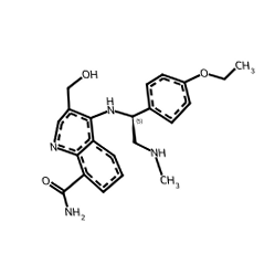 CCOc1ccc([C@@H](CNC)Nc2c(CO)cnc3c(C(N)=O)cccc23)cc1